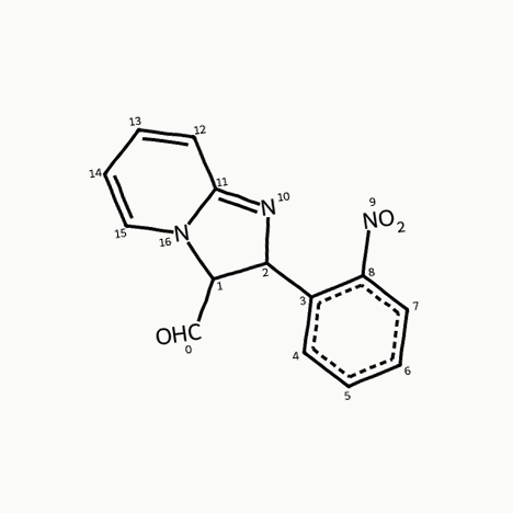 O=CC1C(c2ccccc2[N+](=O)[O-])N=C2C=CC=CN21